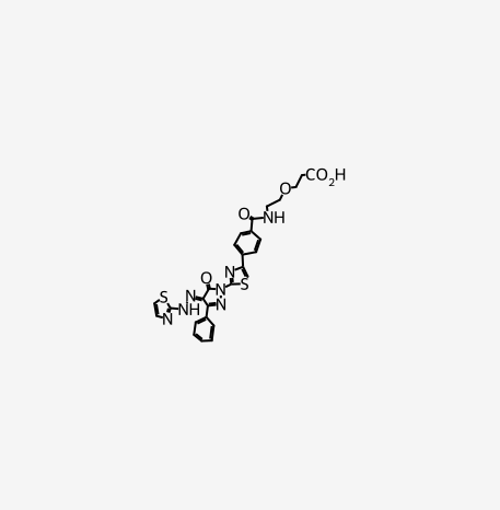 O=C(O)CCOCCNC(=O)c1ccc(-c2csc(N3N=C(c4ccccc4)/C(=N\Nc4nccs4)C3=O)n2)cc1